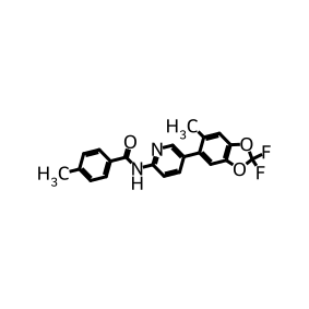 Cc1ccc(C(=O)Nc2ccc(-c3cc4c(cc3C)OC(F)(F)O4)cn2)cc1